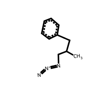 CC(CN=[N+]=[N-])Cc1ccccc1